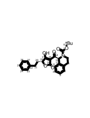 CC(C)(C)OC(=O)N1CCc2ccccc2[C@H]1C(=O)C1=C(O)[C@@H](CCc2ccccc2)OC1=O